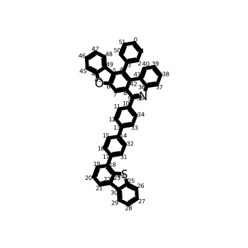 c1ccc(-c2c3c(cc4c(-c5ccc(-c6ccc(-c7cccc8c7sc7ccccc78)cc6)cc5)nc5ccccc5c24)oc2ccccc23)cc1